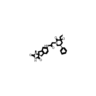 CN1C(=O)NC(=O)[C@]12Cc1ccc(NC(=O)CN3C[C@H](c4ccccc4)CC(Cl)(CI)C3=O)cc1C2